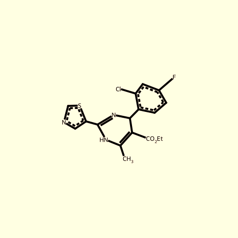 CCOC(=O)C1=C(C)NC(c2cncs2)=NC1c1ccc(F)cc1Cl